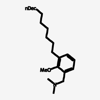 CCCCCCCCCCCCCCCCc1cccc(CN(C)C)c1OC